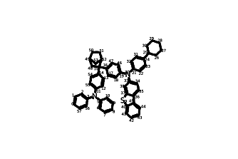 c1ccc(N(c2ccccc2)c2ccc(C3(c4ccc(N(c5ccc(C6CCCCC6)cc5)c5ccc6c(c5)sc5ccccc56)cc4)CC4CCC3C4)cc2)cc1